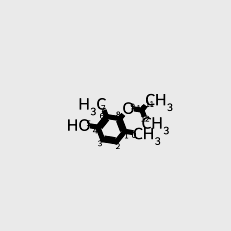 Cc1ccc(O)c(C)c1OC(C)C